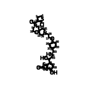 O=C(c1ccsc1Cl)N1CCOC2(CCN(CCOc3ccc(CNC[C@H](O)c4ccc(O)c5[nH]c(=O)sc45)cc3)CC2)C1